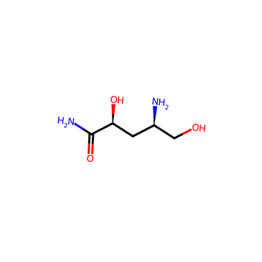 NC(=O)[C@@H](O)C[C@@H](N)CO